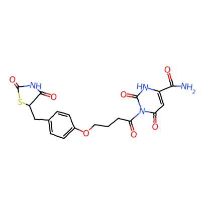 NC(=O)c1cc(=O)n(C(=O)CCCOc2ccc(CC3SC(=O)NC3=O)cc2)c(=O)[nH]1